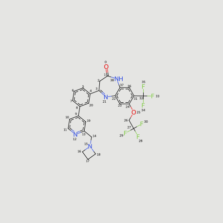 O=C1CC(c2cccc(-c3ccnc(CN4CCC4)c3)c2)=Nc2cc(OCC(F)(F)F)c(C(F)(F)F)cc2N1